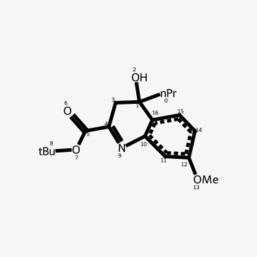 CCCC1(O)CC(C(=O)OC(C)(C)C)=Nc2cc(OC)ccc21